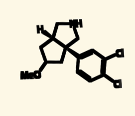 COC1C[C@@H]2CNC[C@]2(c2ccc(Cl)c(Cl)c2)C1